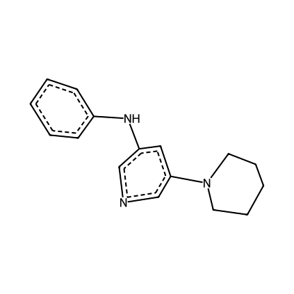 c1ccc(Nc2cncc(N3CCCCC3)c2)cc1